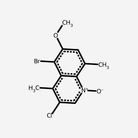 COc1cc(C)c2c(c(C)c(Cl)c[n+]2[O-])c1Br